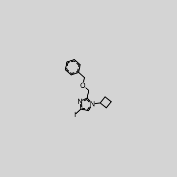 Ic1cn(C2CCC2)c(COCc2ccccc2)n1